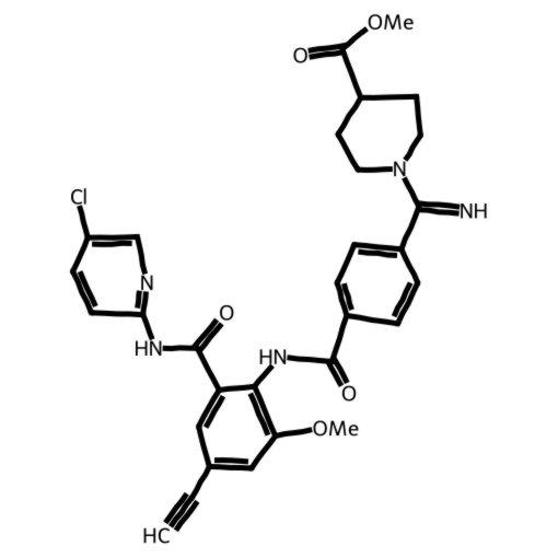 C#Cc1cc(OC)c(NC(=O)c2ccc(C(=N)N3CCC(C(=O)OC)CC3)cc2)c(C(=O)Nc2ccc(Cl)cn2)c1